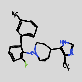 Cc1cccc(-c2cccc(F)c2N2CCC(c3[nH]cnc3C)CC2)c1